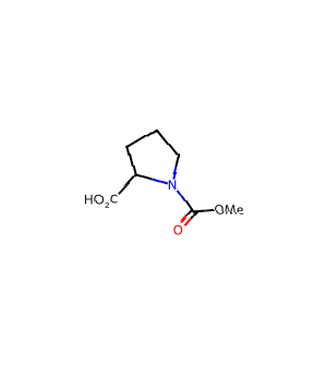 COC(=O)N1CCCC1C(=O)O